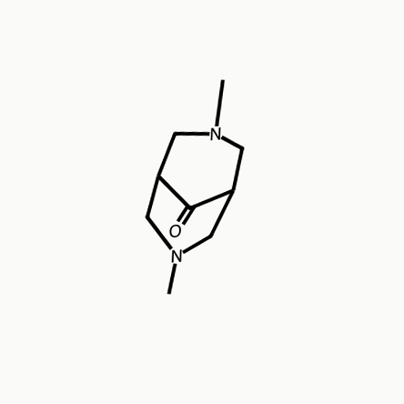 CN1CC2CN(C)CC(C1)C2=O